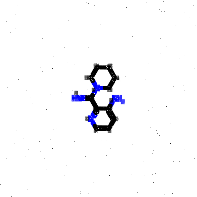 N=C(c1ncccc1N)N1CCCCC1